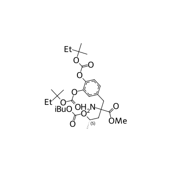 CCC(C)(C)OC(=O)Oc1ccc(CC(N)(C[C@H](C)OC(=O)OCC(C)C)C(=O)OC)cc1OC(=O)OC(C)(C)CC